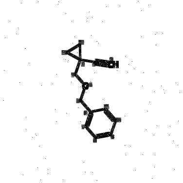 C#CC1(COCc2ccccc2)CC1